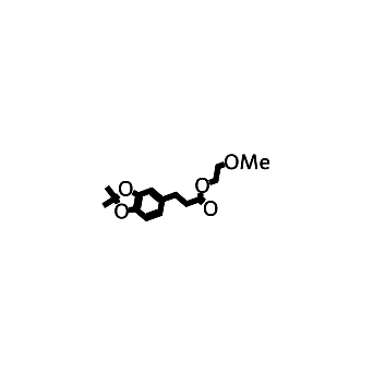 COCCOC(=O)CCc1ccc2c(c1)OC(C)(C)O2